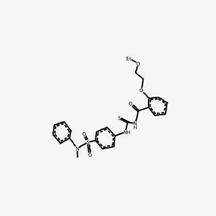 CCOCCOc1ccccc1C(=O)NC(=S)Nc1ccc(S(=O)(=O)N(C)c2ccccc2)cc1